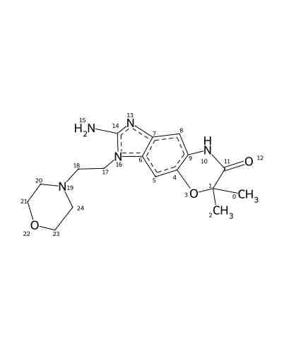 CC1(C)Oc2cc3c(cc2NC1=O)nc(N)n3CCN1CCOCC1